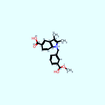 COC(O)c1cccc(Cn2c(C)c(C)c3cc(C(=O)O)ccc32)c1